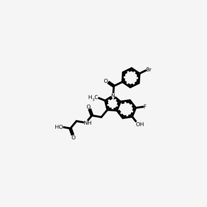 Cc1c(CC(=O)NCC(=O)O)c2cc(O)c(F)cc2n1C(=O)c1ccc(Br)cc1